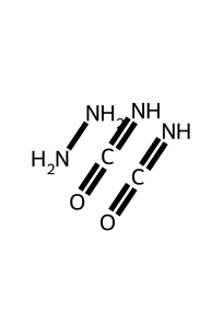 N=C=O.N=C=O.NN